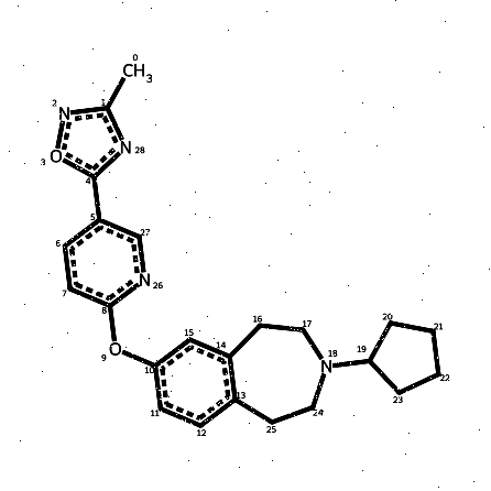 Cc1noc(-c2ccc(Oc3ccc4c(c3)CCN(C3CCCC3)CC4)nc2)n1